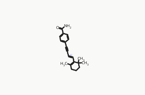 CC1=C(/C=C/C#Cc2ccc(C(N)=O)cc2)C(C)(C)CCC1